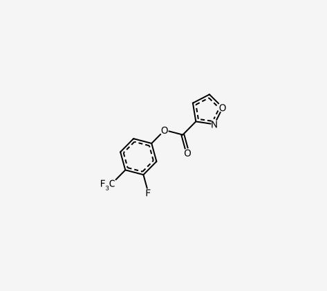 O=C(Oc1ccc(C(F)(F)F)c(F)c1)c1ccon1